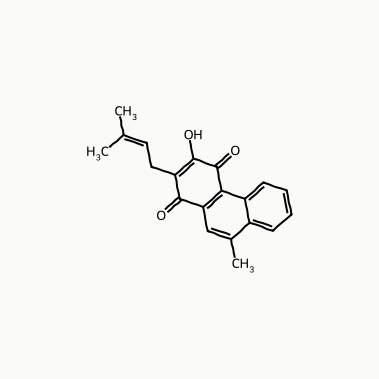 CC(C)=CCC1=C(O)C(=O)c2c(cc(C)c3ccccc23)C1=O